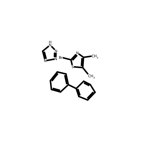 Cc1nc(Br)sc1C.c1ccc(-c2ccccc2)cc1.c1nnn[nH]1